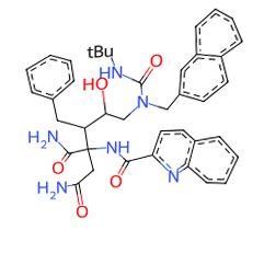 CC(C)(C)NC(=O)N(Cc1ccc2ccccc2c1)CC(O)C(Cc1ccccc1)C(CC(N)=O)(NC(=O)c1ccc2ccccc2n1)C(N)=O